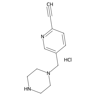 C#Cc1ccc(CN2CCNCC2)cn1.Cl